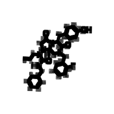 C=CCN(C(=O)NCc1ccccc1)N1CC(=O)N2[C@@H](Cc3ccc(O)cc3)C(=O)N(Cc3ccccc3F)C[C@@H]21